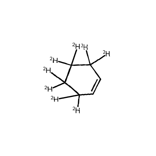 [2H]C1([2H])C=CC([2H])([2H])C([2H])([2H])C1([2H])[2H]